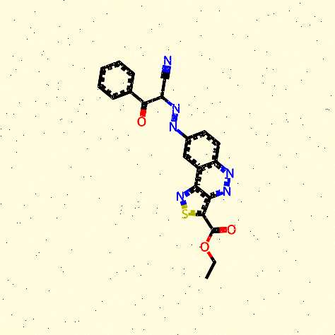 CCOC(=O)c1snc2c1nnc1ccc(/N=N/C(C#N)C(=O)c3ccccc3)cc12